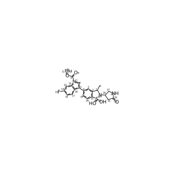 CC1c2cc(-c3cn(C(=O)OC(C)(C)C)c4cc(F)ccc34)ccc2S(O)(O)N1C1CNC(=O)C1